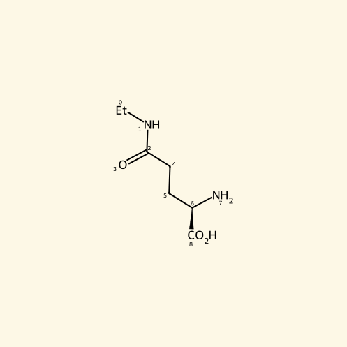 CCNC(=O)CC[C@@H](N)C(=O)O